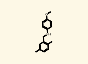 COc1ccc(NCc2cc(C)ccc2C)cc1